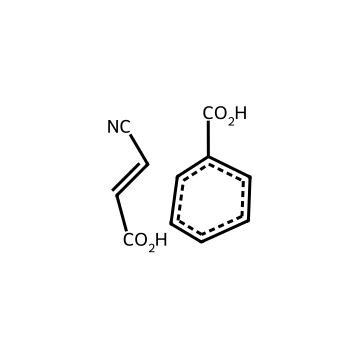 N#CC=CC(=O)O.O=C(O)c1ccccc1